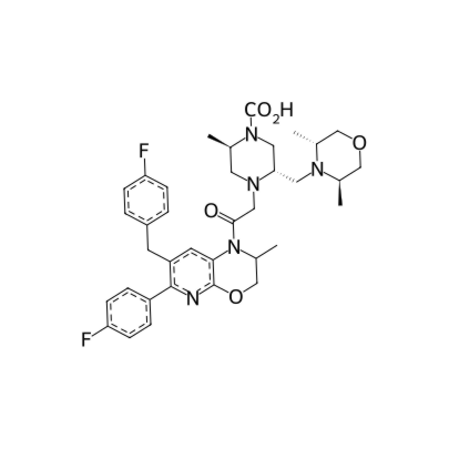 CC1COc2nc(-c3ccc(F)cc3)c(Cc3ccc(F)cc3)cc2N1C(=O)CN1C[C@@H](C)N(C(=O)O)C[C@@H]1CN1[C@H](C)COC[C@H]1C